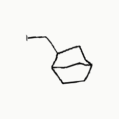 ICC1CC2CCC1CC2